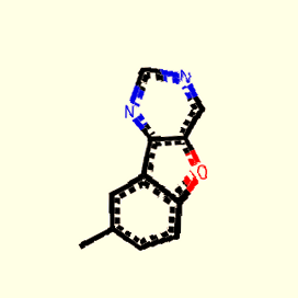 Cc1ccc2oc3cncnc3c2c1